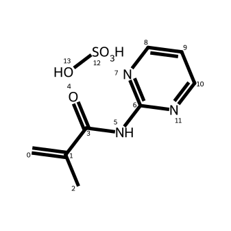 C=C(C)C(=O)Nc1ncccn1.O=S(=O)(O)O